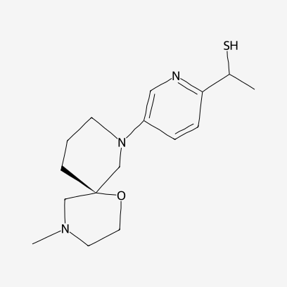 CC(S)c1ccc(N2CCC[C@@]3(CN(C)CCO3)C2)cn1